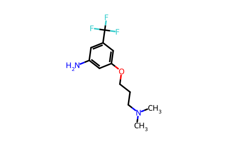 CN(C)CCCOc1cc(N)cc(C(F)(F)F)c1